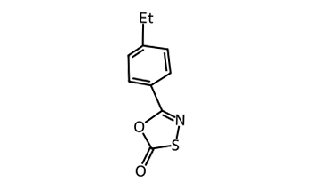 CCc1ccc(-c2nsc(=O)o2)cc1